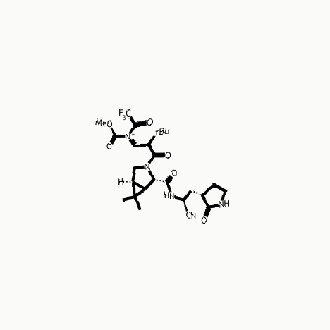 COC(=O)/[N+](=C/C(C(=O)N1C[C@H]2C([C@H]1C(=O)N[C@H](C#N)C[C@@H]1CCNC1=O)C2(C)C)C(C)(C)C)C(=O)C(F)(F)F